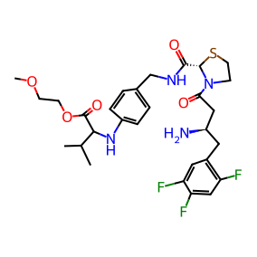 COCCOC(=O)C(Nc1ccc(CNC(=O)[C@@H]2SCCN2C(=O)C[C@H](N)Cc2cc(F)c(F)cc2F)cc1)C(C)C